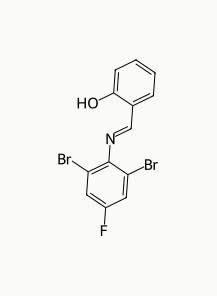 Oc1ccccc1C=Nc1c(Br)cc(F)cc1Br